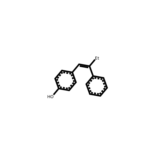 CCC(=Cc1ccc(O)cc1)c1ccccc1